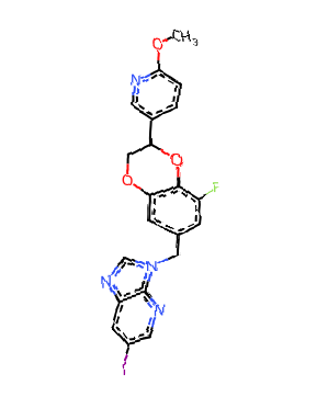 COc1ccc(C2COc3cc(Cn4cnc5cc(I)cnc54)cc(F)c3O2)cn1